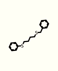 c1ccc(CSCCCCSc2ccccc2)cc1